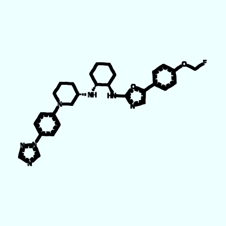 FCOc1ccc(-c2cnc(N[C@@H]3CCCC[C@H]3N[C@H]3CCCN(c4ccc(-n5cncn5)cc4)C3)o2)cc1